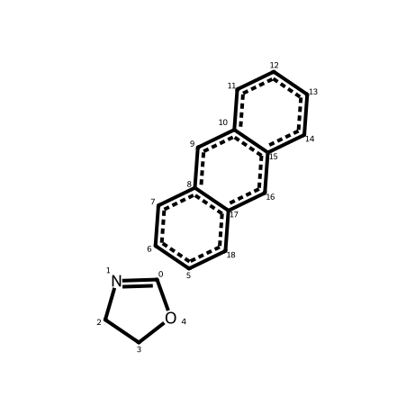 C1=NCCO1.c1ccc2cc3ccccc3cc2c1